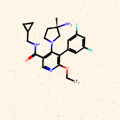 C[C@]1(N)CCN(c2c(C(=O)NCC3CC3)cnc(OCC(F)(F)F)c2-c2cc(F)cc(F)c2)C1